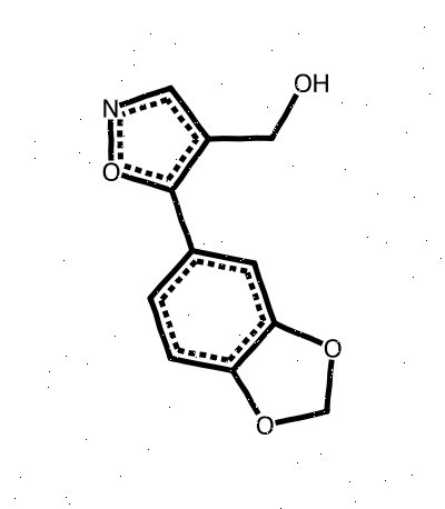 OCc1cnoc1-c1ccc2c(c1)OCO2